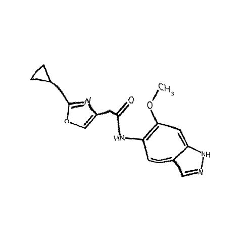 COc1cc2[nH]ncc2cc1NC(=O)c1coc(C2CC2)n1